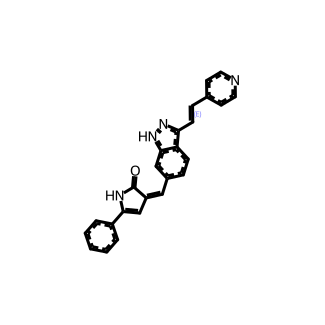 O=C1NC(c2ccccc2)=CC1=Cc1ccc2c(/C=C/c3ccncc3)n[nH]c2c1